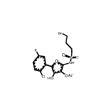 CC(=O)Oc1c(NS(=O)(=O)CCCBr)oc(-c2cc(F)ccc2Cl)c1O